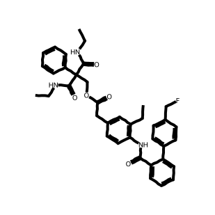 CCNC(=O)C(COC(=O)Cc1ccc(NC(=O)c2ccccc2-c2ccc(CF)cc2)c(CC)c1)(C(=O)NCC)c1ccccc1